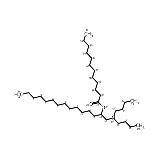 CCCCCCCCCCCCCC(CN(CCCC)CCCC)OC(=O)CCCCCCCCCCC